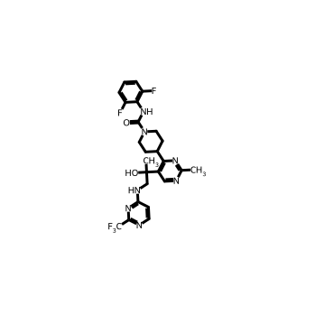 Cc1ncc(C(C)(O)CNc2ccnc(C(F)(F)F)n2)c(C2CCN(C(=O)Nc3c(F)cccc3F)CC2)n1